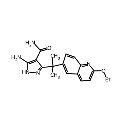 CCOc1ccc2cc(C(C)(C)c3n[nH]c(N)c3C(N)=O)ccc2n1